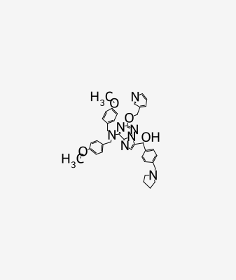 COc1ccc(CN(Cc2ccc(OC)cc2)c2nc(OCc3cccnc3)nn3c(C(O)c4ccc(CN5CCCC5)cc4)cnc23)cc1